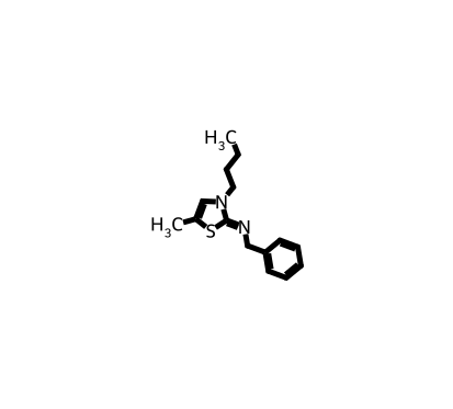 CCCCn1cc(C)sc1=NCc1ccccc1